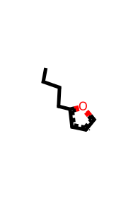 CCCCc1c[c]co1